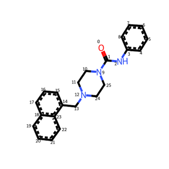 O=C(Nc1ccccc1)N1CCN(Cc2cccc3ccccc23)CC1